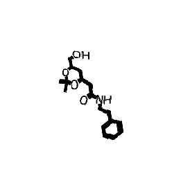 CC1(C)OC(CO)CC(CC(=O)NCCc2ccccc2)O1